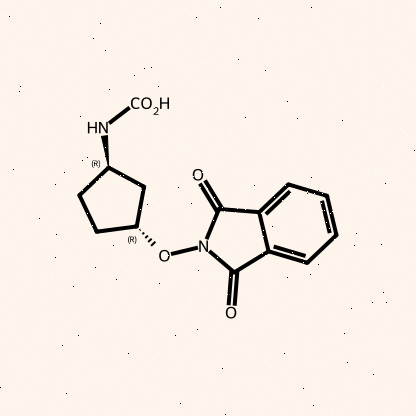 O=C(O)N[C@@H]1CC[C@@H](ON2C(=O)c3ccccc3C2=O)C1